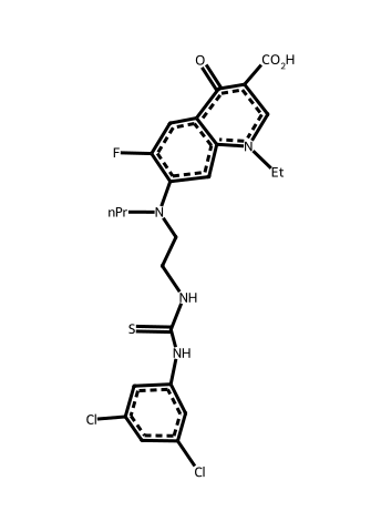 CCCN(CCNC(=S)Nc1cc(Cl)cc(Cl)c1)c1cc2c(cc1F)c(=O)c(C(=O)O)cn2CC